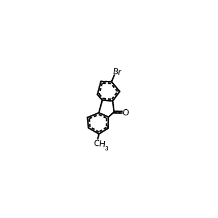 Cc1ccc2c(c1)C(=O)c1cc(Br)ccc1-2